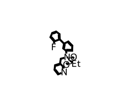 CCS(=O)(=O)N(Cc1cccnc1)c1cccc(-c2ccccc2F)c1